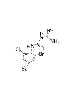 CCc1cc(Cl)c(NC(=O)NC(=N)N)c(Br)c1